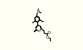 C=C(C)/C=C(\C=C(/F)CCC(=O)OCC)c1c(C)cc(CN(C)C)cc1C